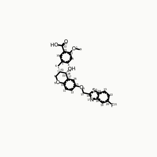 COc1ccc(C[C@H]2COc3ccc(OCc4nc5cc(F)ccc5s4)cc3[C@H]2O)cc1C(=O)O